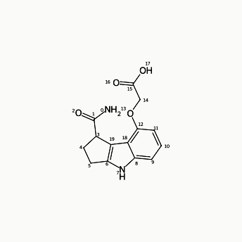 NC(=O)C1CCc2[nH]c3cccc(OCC(=O)O)c3c21